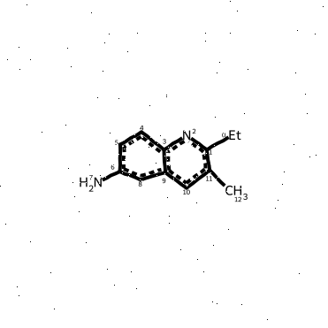 CCc1nc2ccc(N)cc2cc1C